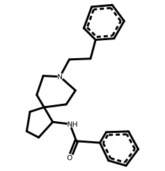 O=C(NC1CCCC12CCN(CCc1ccccc1)CC2)c1ccccc1